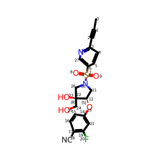 CC#Cc1ccc(S(=O)(=O)N2C[C@H](Oc3ccc(C#N)c(F)c3)[C@](O)(CO)C2)cn1